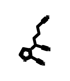 N#CCCCC(C#N)n1ccnc1C#N